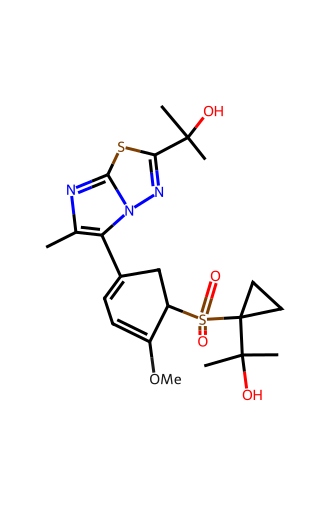 COC1=CC=C(c2c(C)nc3sc(C(C)(C)O)nn23)CC1S(=O)(=O)C1(C(C)(C)O)CC1